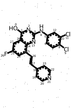 Oc1nc(Nc2ccc(Cl)c(Cl)c2)nc2c(C=Cc3ccncc3)cc(F)cc12